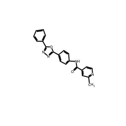 Cc1cc(C(=O)Nc2ccc(-c3nnc(-c4ccccc4)o3)cc2)ccn1